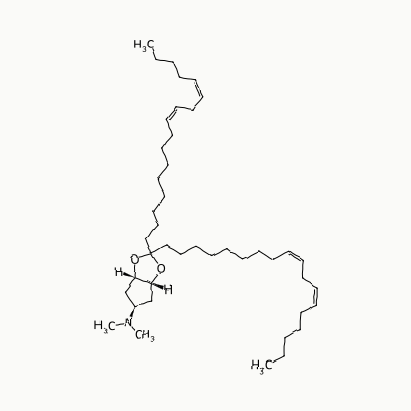 CCCC/C=C\C/C=C\CCCCCCCCC1(CCCCCCCC/C=C\C/C=C\CCCCC)O[C@H]2C[C@H](N(C)C)C[C@H]2O1